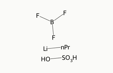 FB(F)F.O=S(=O)(O)O.[Li][CH2]CC